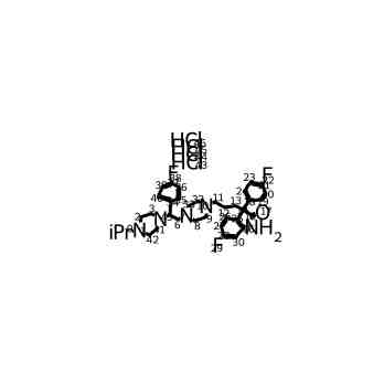 CC(C)N1CCN(C(CN2CCN(CCCC(C(N)=O)(c3ccc(F)cc3)c3ccc(F)cc3)CC2)c2ccc(F)cc2)CC1.Cl.Cl.Cl.Cl